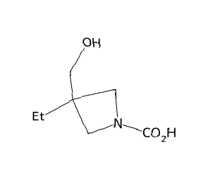 CCC1(CO)CN(C(=O)O)C1